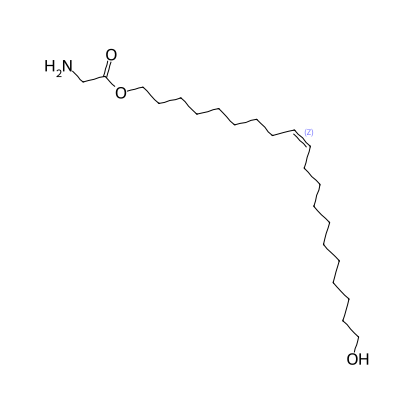 NCC(=O)OCCCCCCCC/C=C\CCCCCCCCCCO